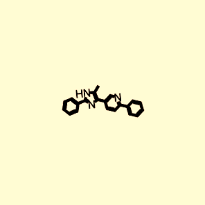 Cc1[nH]c(-c2ccccc2)nc1-c1ccc(-c2ccccc2)nc1